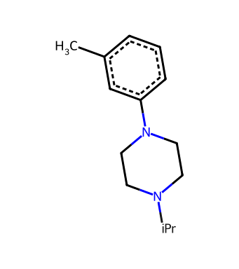 Cc1cccc(N2CCN(C(C)C)CC2)c1